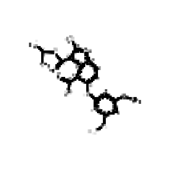 COc1cc(OC)nc(Oc2ccc3oc(C)c(C(=O)OC(C)C)c3c2C(=O)O)n1